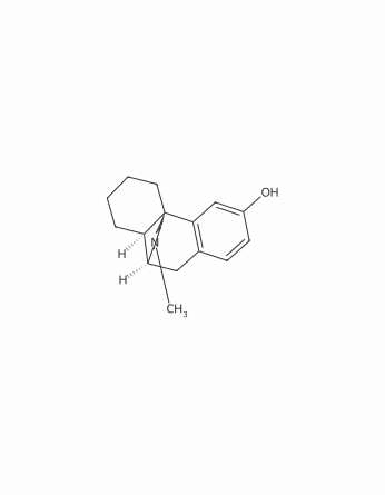 CN1CCC[C@]23CCCC[C@@H]2[C@@H]1Cc1ccc(O)cc13